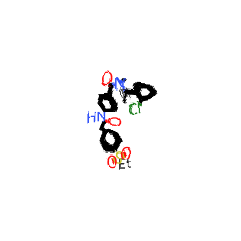 CCS(=O)(=O)c1ccc(CC(=O)Nc2ccc(C(=O)N(C)[C@H](C)c3ccccc3Cl)cc2)cc1